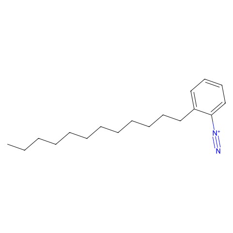 CCCCCCCCCCCCc1ccccc1[N+]#N